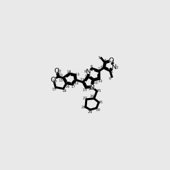 Cc1noc(C)c1-c1cnc2c(-c3ccc4c(c3)CCOC4=O)cn(CC3CCCCC3)c2c1